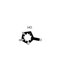 Cl.O=c1cn[nH]o1